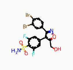 NS(=O)(=O)c1c(F)cc(-c2c(-c3ccc(Br)c(Br)c3)noc2CO)cc1F